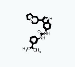 CC(C)c1cccc(NC(=O)Nc2ccc3[nH]cc(C4CCN5CCCC5C4)c3c2)c1